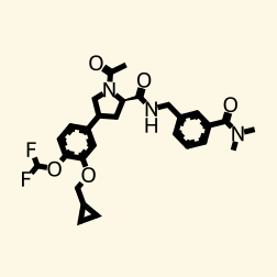 CC(=O)N1CC(c2ccc(OC(F)F)c(OCC3CC3)c2)C[C@@H]1C(=O)NCc1cccc(C(=O)N(C)C)c1